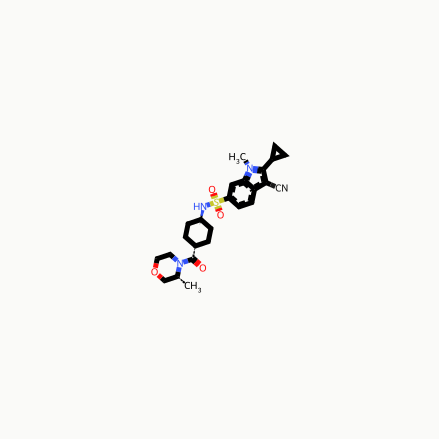 C[C@@H]1COCCN1C(=O)[C@H]1CC[C@H](NS(=O)(=O)c2ccc3c(C#N)c(C4CC4)n(C)c3c2)CC1